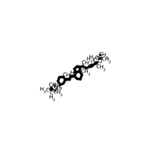 C=C1CC[C@@H](O[Si](C)(C)C(C)(C)C)C/C1=C/C=C1\CCC[C@]2(C)C([C@H](C)CC#CC(C)(C)O[Si](C)(C)C)=CC[C@@H]12